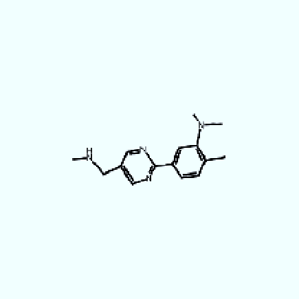 CNCc1cnc(-c2ccc(C)c(N(C)C)c2)nc1